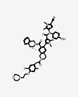 Cc1cc(OCCN2CCOCC2)c(F)cc1CC(=O)N1CCc2cc(-c3cc(C(=O)N(c4ccc(O)cc4)c4cc(C#N)n(C)c4C)c(C)n3C)c(C(=O)N3Cc4ccccc4C[C@H]3C)cc2C1